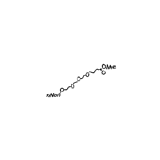 CCCCCCCCCOCCOCCOCCOCCCC(=O)OC